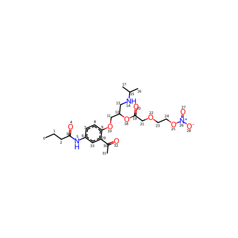 CCCC(=O)Nc1ccc(OCC(CNC(C)C)OC(=O)COCCO[N+](=O)[O-])c(C(C)=O)c1